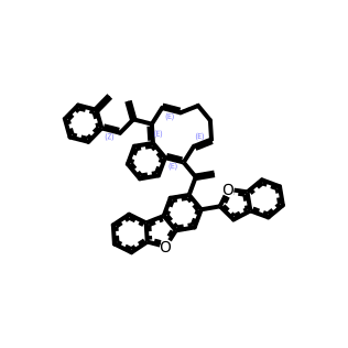 C=C(/C=c1/ccccc1=C)C1=c2\cccc\c2=C(C(=C)c2cc3c(cc2-c2cc4ccccc4o2)oc2ccccc23)\C=C\CC\C=C\1